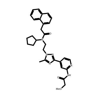 COCC(=O)Nc1cc(-c2nc(C)n(CCN(C(=O)Cc3cccc4ccccc34)C3CCCC3)n2)ccn1